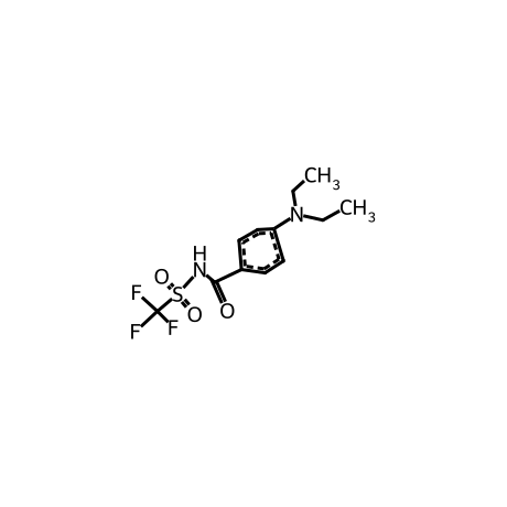 CCN(CC)c1ccc(C(=O)NS(=O)(=O)C(F)(F)F)cc1